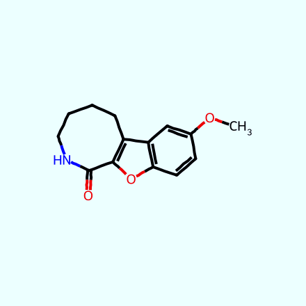 COc1ccc2oc3c(c2c1)CCCCNC3=O